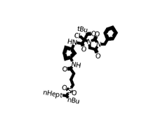 CCCCCCCC(CCCC)S(=O)(=O)CCCC(=O)Nc1cccc(NC(=O)C(Cl)(C(=O)C(C)(C)C)N2CC(=O)N(Cc3ccccc3)C2=O)c1